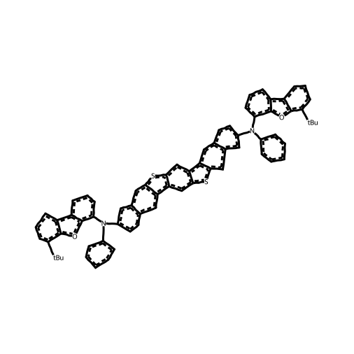 CC(C)(C)c1cccc2c1oc1c(N(c3ccccc3)c3ccc4cc5c(cc4c3)sc3cc4c(cc35)sc3cc5cc(N(c6ccccc6)c6cccc7c6oc6c(C(C)(C)C)cccc67)ccc5cc34)cccc12